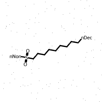 [CH2]CCCCCCCCCCCCCCCCC[CH]S(=O)(=O)CCCCCCCCC